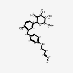 CO[C@H]1OC(c2ccc(Cl)c(Cc3ccc(OCC/C=N/I)cc3)c2)C(O)[C@@H](O)[C@@H]1O